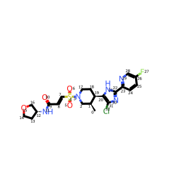 C[C@H]1CN(S(=O)(=O)C=CC(=O)N[C@@H]2CCOC2)CC[C@H]1c1[nH]c(-c2ccc(F)cn2)nc1Cl